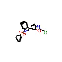 O=S(=O)(c1ccccc1)n1cc(-c2ccc3nc(CCl)oc3c2)c2ccccc21